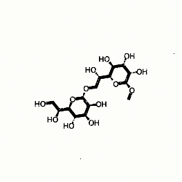 CO[C@H]1O[C@H]([C@@H](O)CO[C@H]2O[C@H]([C@@H](O)CO)[C@@H](O)[C@H](O)[C@@H]2O)[C@@H](O)[C@H](O)[C@@H]1O